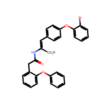 O=C(Cc1ccccc1Oc1ccccc1)N/C(=C/c1ccc(Oc2ccccc2Br)cc1)C(=O)O